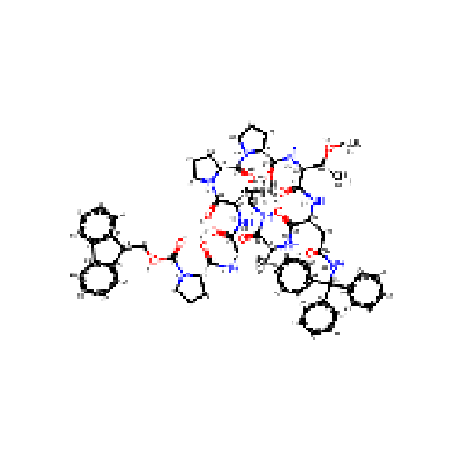 CC[C@H](C)[C@H](NC(=O)[C@@H]1CCCN1C(=O)OCC1c2ccccc2-c2ccccc21)C(=O)N[C@@H](CC(C)C)C(=O)N1CCC[C@H]1C(=O)N1CCC[C@H]1C(=O)N[C@H](C(=O)N[C@@H](CC(=O)NC(c1ccccc1)(c1ccccc1)c1ccccc1)C(=O)N[C@H](C(=O)NCC(=O)O)C(C)C)[C@@H](C)OC(C)(C)C